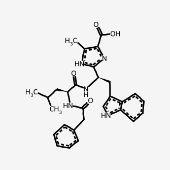 Cc1[nH]c([C@@H](Cc2c[nH]c3ccccc23)NC(=O)[C@H](CC(C)C)NC(=O)Cc2ccccc2)nc1C(=O)O